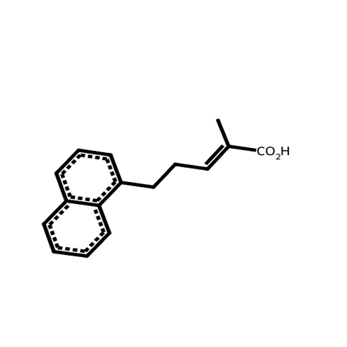 CC(=CCCc1cccc2ccccc12)C(=O)O